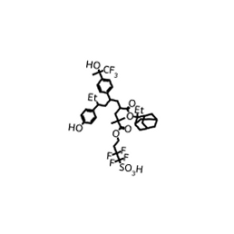 CCC(CC(CC(CC(C)(C)C(=O)OCCC(F)(F)C(F)(F)S(=O)(=O)O)C(=O)OC1(CC)C2CC3CC(C2)CC1C3)c1ccc(C(C)(O)C(F)(F)F)cc1)c1ccc(O)cc1